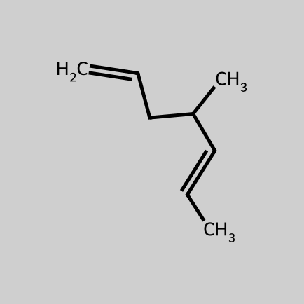 C=CCC(C)/C=C/C